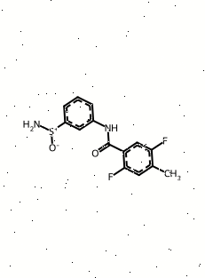 Cc1cc(F)c(C(=O)Nc2cccc([S+](N)[O-])c2)cc1F